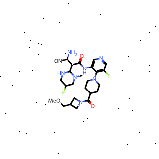 COCC1CN(C(=O)C2CCN(c3c(F)cncc3NC(=O)C(C(N)N=O)C3NCC(F)CN3C)CC2)C1